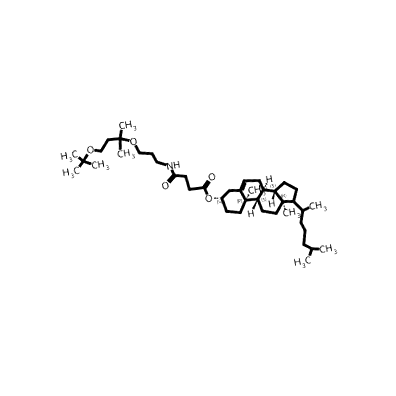 CC(C)CCCC(C)C1CC[C@H]2[C@@H]3CC=C4C[C@@H](OC(=O)CCC(=O)NCCCOC(C)(C)CCOC(C)(C)C)CC[C@]4(C)[C@H]3CC[C@]12C